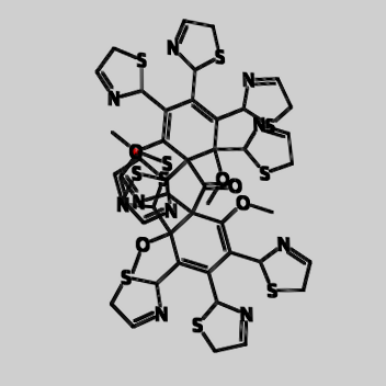 COC1=C(C2N=CCS2)C(C2N=CCS2)=C(C2N=CCS2)C(OC)(C2N=CCS2)C1(C(=O)C1(C2N=CCS2)C(OC)=C(C2N=CCS2)C(C2N=CCS2)=C(C2N=CCS2)C1(OC)C1N=CCS1)C1N=CCS1